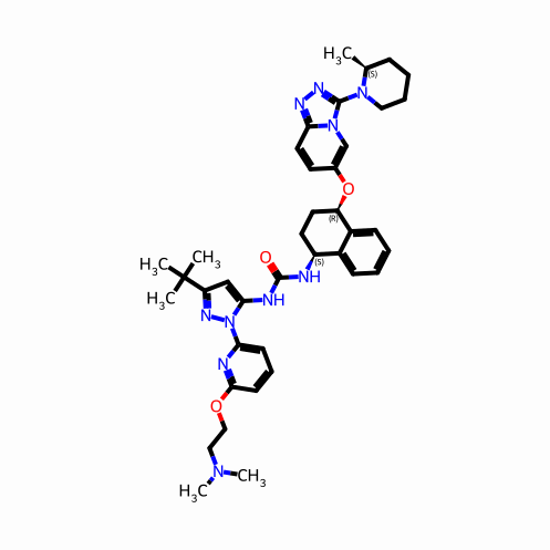 C[C@H]1CCCCN1c1nnc2ccc(O[C@@H]3CC[C@H](NC(=O)Nc4cc(C(C)(C)C)nn4-c4cccc(OCCN(C)C)n4)c4ccccc43)cn12